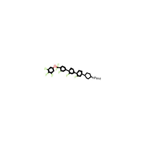 CCCCCC1CCC(c2ccc(-c3ccc(-c4ccc(C(F)(F)Oc5cc(F)c(F)c(F)c5)c(F)c4)c(F)c3)c(F)c2)CC1